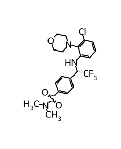 CN(C)S(=O)(=O)c1ccc([C@H](Nc2cccc(Cl)c2N2CCOCC2)C(F)(F)F)cc1